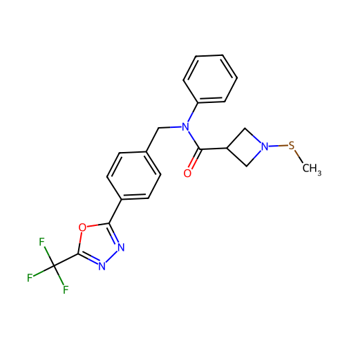 CSN1CC(C(=O)N(Cc2ccc(-c3nnc(C(F)(F)F)o3)cc2)c2ccccc2)C1